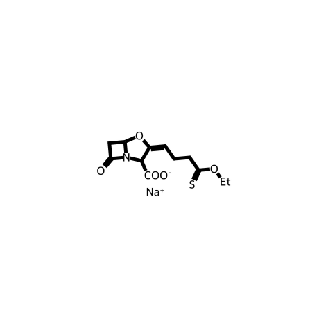 CCOC(=S)CCC=C1OC2CC(=O)N2C1C(=O)[O-].[Na+]